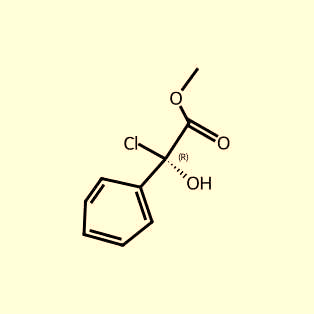 COC(=O)[C@](O)(Cl)c1ccccc1